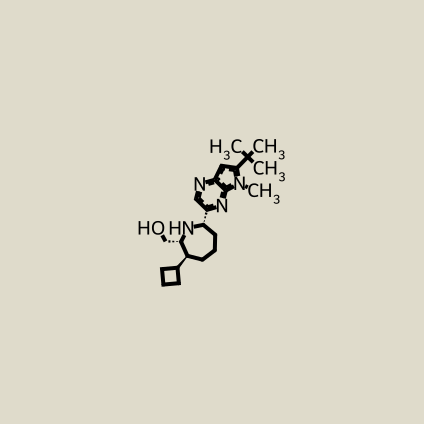 Cn1c(C(C)(C)C)cc2ncc([C@@H]3CCC[C@@H](C4CCC4)[C@H](CO)N3)nc21